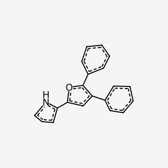 c1ccc(-c2cc(-c3ccc[nH]3)oc2-c2ccccc2)cc1